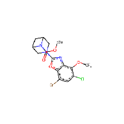 CC(C)(C)OC(=O)N1C2CC1CN(c1nc3c(OC(F)(F)F)c(Cl)cc(Br)c3o1)C2